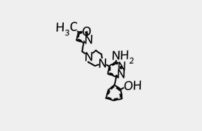 Cc1cc(CN2CCN(c3cc(-c4ccccc4O)nnc3N)CC2)no1